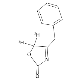 [2H]C1([2H])OC(=O)N=C1Cc1ccccc1